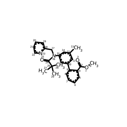 COC(=O)c1ccccc1-c1cc(C)cc(N(Cc2ccccn2)C(=O)C(C)(C)C)c1